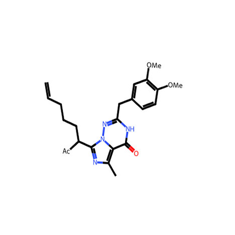 C=CCCCC(C(C)=O)c1nc(C)c2c(=O)[nH]c(Cc3ccc(OC)c(OC)c3)nn12